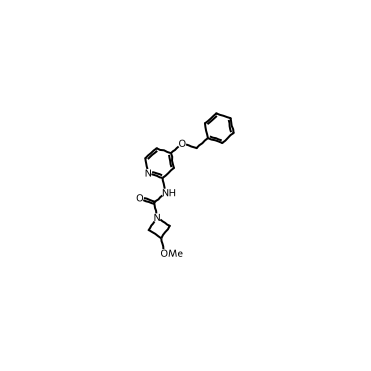 COC1CN(C(=O)Nc2cc(OCc3ccccc3)ccn2)C1